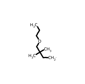 [CH2]CC(C)(C)COCCC